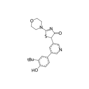 CC(C)(C)c1cc(-c2cncc(C3SC(N4CCOCC4)=NC3=O)c2)ccc1O